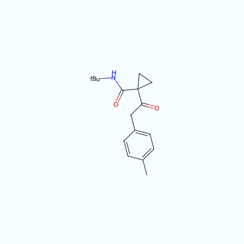 Cc1ccc(CC(=O)C2(C(=O)NC(C)(C)C)CC2)cc1